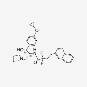 O=C(N[C@H](CN1CCCC1)[C@H](O)c1ccc(OC2CC2)cc1)C(F)(F)CCc1ccc2ccccc2c1